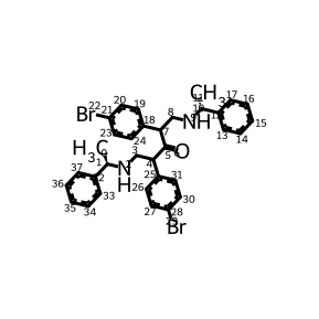 C[C@@H](NCC(C(=O)C(CN[C@H](C)c1ccccc1)c1ccc(Br)cc1)c1ccc(Br)cc1)c1ccccc1